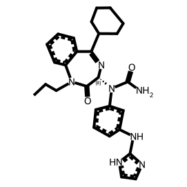 CCCN1C(=O)[C@@H](N(C(N)=O)c2cccc(Nc3ncc[nH]3)c2)N=C(C2CCCCC2)c2ccccc21